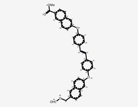 COC(=O)c1ccc2cc(Oc3ccc(/C=C/c4ccc(Oc5ccc6cc(COC=O)ccc6c5)cc4)cc3)ccc2c1